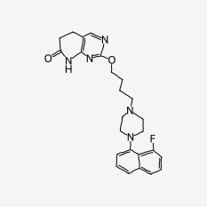 O=C1CCc2cnc(OCCCCN3CCN(c4cccc5cccc(F)c45)CC3)nc2N1